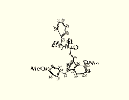 CC[C@@H](CN(CC)C(=O)CCc1nn(Cc2ccc(OC)cc2)c2ccnc(OC)c12)c1ccccc1